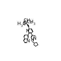 C[Si](C)(C)C#Cc1ccc(-c2cnn(CC3CCCC3)c2)c(-c2ccc3cccnc3c2)n1